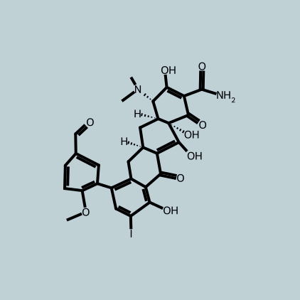 COc1ccc(C=O)cc1-c1cc(I)c(O)c2c1C[C@H]1C[C@H]3[C@H](N(C)C)C(O)=C(C(N)=O)C(=O)[C@@]3(O)C(O)=C1C2=O